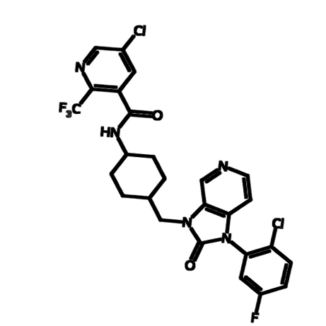 O=C(NC1CCC(Cn2c(=O)n(-c3cc(F)ccc3Cl)c3ccncc32)CC1)c1cc(Cl)cnc1C(F)(F)F